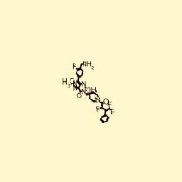 Cn1nc2c(=O)n(CC3(O)CCN(C(=O)C(F)C(c4ccccc4)C(F)F)CC3)cnc2c1-c1ccc(CN)c(F)c1